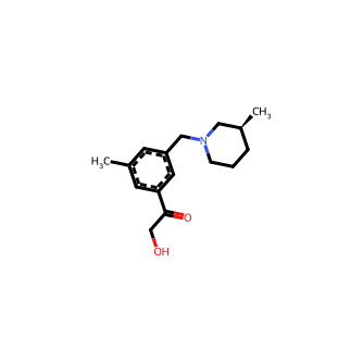 Cc1cc(CN2CCC[C@H](C)C2)cc(C(=O)CO)c1